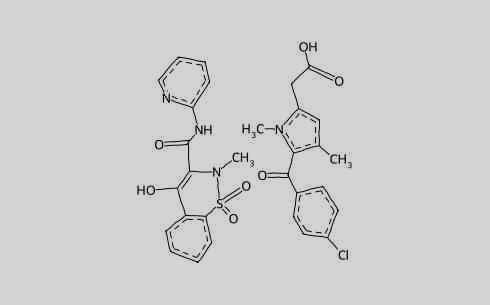 CN1C(C(=O)Nc2ccccn2)=C(O)c2ccccc2S1(=O)=O.Cc1cc(CC(=O)O)n(C)c1C(=O)c1ccc(Cl)cc1